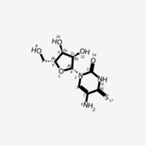 Nc1cn([C@@H]2O[C@H](CO)[C@@H](O)[C@H]2O)c(=O)[nH]c1=S